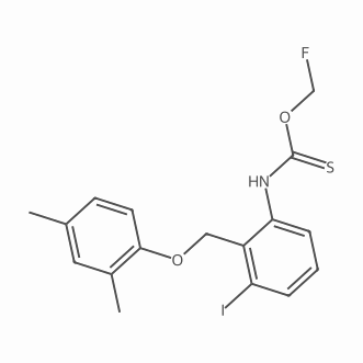 Cc1ccc(OCc2c(I)cccc2NC(=S)OCF)c(C)c1